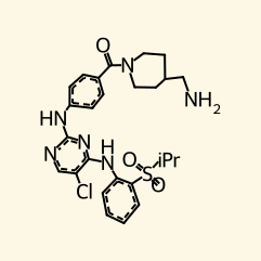 CC(C)S(=O)(=O)c1ccccc1Nc1nc(Nc2ccc(C(=O)N3CCC(CN)CC3)cc2)ncc1Cl